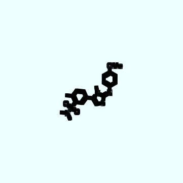 COc1ccc(/N=c2/scc(-c3ccc(C)c(S(=O)(=O)N(C)C)c3)n2C)cc1